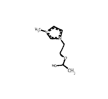 CC(O)OCCn1cc[n+](C)c1